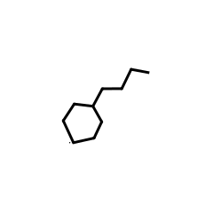 CCCCC1CC[CH]CC1